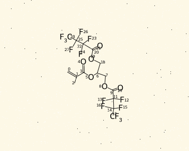 C=C(C)C(=O)OC(COC(=O)C(F)(F)C(F)(F)C(F)(F)F)COC(=O)C(F)(F)C(F)(F)C(F)(F)F